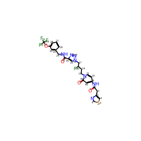 O=C(Cc1cscn1)Nc1ccn(CCC(F)Cn2cc(C(=O)NCc3cccc(OC(F)(F)F)c3)nn2)c(=O)c1